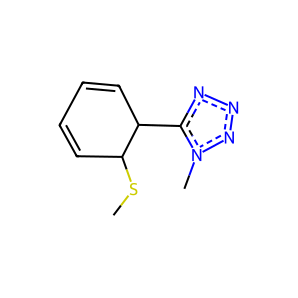 CSC1C=CC=CC1c1nnnn1C